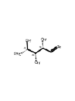 O=C[C@H](O)[C@@H](O)[C@H](O)C=[Se]